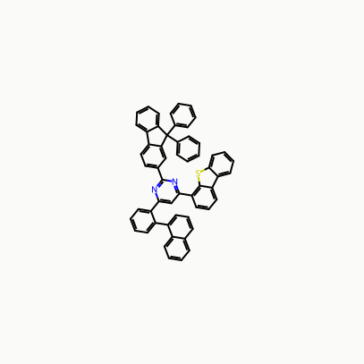 c1ccc(C2(c3ccccc3)c3ccccc3-c3ccc(-c4nc(-c5ccccc5-c5cccc6ccccc56)cc(-c5cccc6c5sc5ccccc56)n4)cc32)cc1